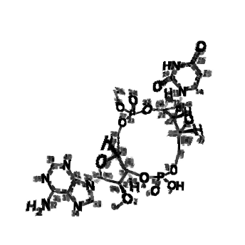 CO[C@@H]1[C@@H]2OP(=O)(O)OC[C@H]3O[C@@H](n4ccc(=O)[nH]c4=O)[C@H](OP(=O)(OC)OC[C@H]2O[C@H]1n1cnc2c(N)ncnc21)[C@@H]3F